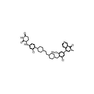 COc1cc(-c2cn(C)c(=O)c3cnccc23)cc(Cl)c1CN1CCC(CCN2CCC(c3ccc(NC4CCC(=O)NC4=O)cc3Cl)CC2)CC1